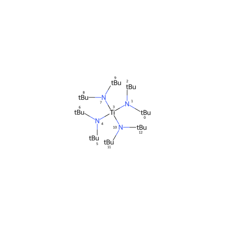 CC(C)(C)[N](C(C)(C)C)[Ti]([N](C(C)(C)C)C(C)(C)C)([N](C(C)(C)C)C(C)(C)C)[N](C(C)(C)C)C(C)(C)C